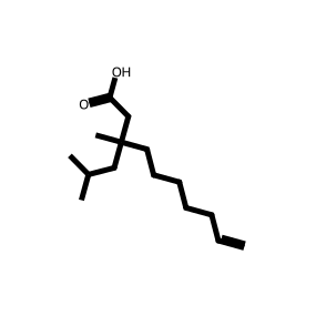 C=CCCCCCC(C)(CC(=O)O)CC(C)C